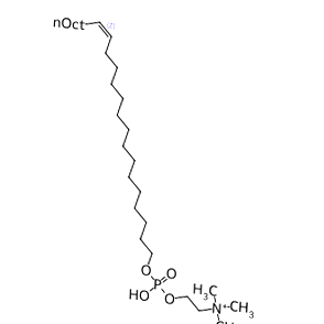 CCCCCCCC/C=C\CCCCCCCCCCCCCCOP(=O)(O)OCC[N+](C)(C)C